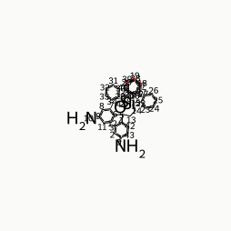 Nc1ccc(C2(c3ccc(N)cc3)CC[Si](c3ccccc3)(c3ccccc3)[Si](c3ccccc3)(c3ccccc3)O2)cc1